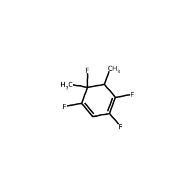 CC1C(F)=C(F)C=C(F)C1(C)F